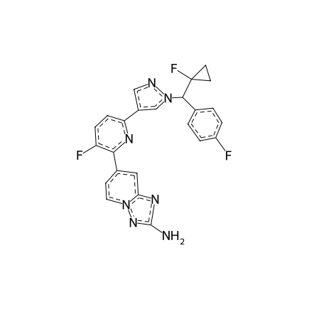 Nc1nc2cc(-c3nc(-c4cnn(C(c5ccc(F)cc5)C5(F)CC5)c4)ccc3F)ccn2n1